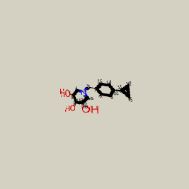 O[C@H]1[C@H](O)CN(C[C@H]2CC[C@H](C3CC3)CC2)C[C@@H]1O